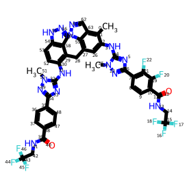 Cc1c(Nc2nc(-c3ccc(C(=O)NCC(F)(F)F)c(F)c3F)nn2C)cc(Cc2c(Nc3nc(-c4ccc(C(=O)NCC(F)(F)F)cc4)nn3C)ccc3[nH]ncc23)c2[nH]ncc12